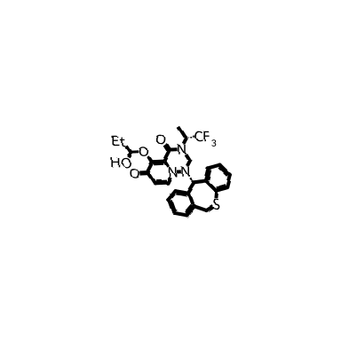 CCC(O)Oc1c2n(ccc1=O)N([C@H]1c3ccccc3CSc3ccccc31)CN([C@H](C)C(F)(F)F)C2=O